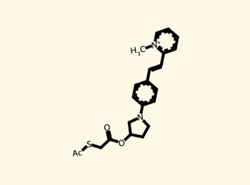 CC(=O)SCC(=O)OC1CCN(c2ccc(/C=C/c3cccc[n+]3C)cc2)C1